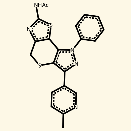 CC(=O)Nc1nc2c(s1)-c1c(c(-c3ccc(C)nc3)nn1-c1ccccc1)SC2